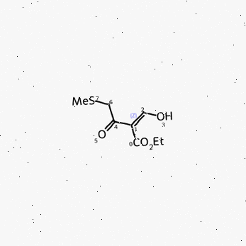 CCOC(=O)/C(=C\O)C(=O)CSC